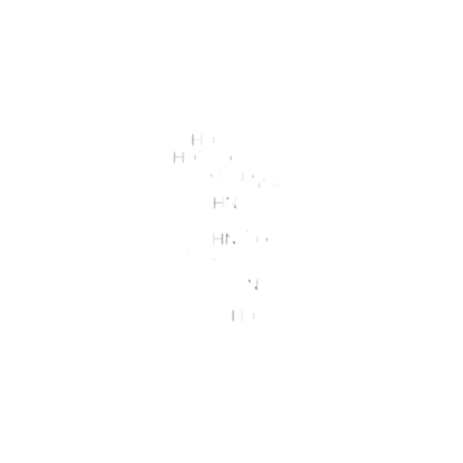 CCC(NC(=O)OC(C)(C)C)C(=O)NC1(C)CCN(CC)CC1